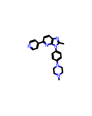 Cc1nc2ccc(-c3ccncc3)nc2n1-c1ccc(N2CCN(C)CC2)cc1